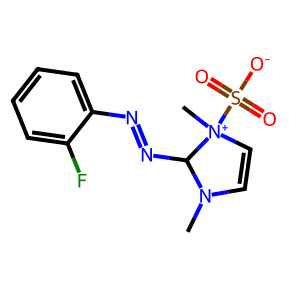 CN1C=C[N+](C)(S(=O)(=O)[O-])C1N=Nc1ccccc1F